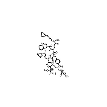 CCCCN(CCSSc1ccccn1)C(=O)CC[C@@H](C(=O)N[C@@H](Cc1ccc(O)cc1)C(=O)N[C@H](Cc1c[nH]c2ccccc12)C(=O)N[C@@H](CCCCNC(=O)OC(C)(C)C)C(=O)N[C@H](O)[C@@H](C)O)N(C)C(=O)[C@H](Cc1ccccc1)NC